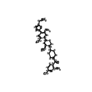 CC[C@H]1CN(c2nc(N)c(-c3nnc(CN)o3)nc2Cl)CCN1C1CCN(C(=O)c2ccc(Cl)nc2N)CC1